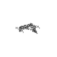 CCOc1c(C(=O)NS(=O)(=O)N2CC3CC3C2)ccc(C(=O)N2CCc3c(c(=O)oc4c(CC)c(N5CCN(C)[C@@H](COC)C5)ccc34)C2)c1F